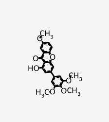 COc1ccc2oc3cc(-c4cc(OC)c(OC)c(OC)c4)cc(O)c3c(=O)c2c1